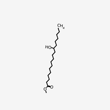 C.CCCCCCC(O)CCCCCCCCCCC(=O)OC